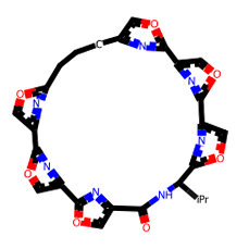 CC(C)C1NC(=O)c2coc(n2)-c2coc(n2)-c2coc(n2)CCCc2coc(n2)-c2coc(n2)-c2coc1n2